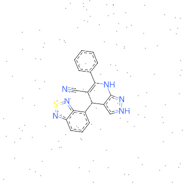 N#CC1=C(c2ccccc2)Nc2n[nH]cc2C1c1cccc2nsnc12